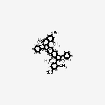 Cc1cc(C(C)(C)C)cc(C)c1C1=c2cc3cc4c(cc3cc2C2=C1S(=O)(=O)c1ccccc12)=C(c1c(C)cc(C(C)(C)C)cc1C)c1oc2ccccc2c1-4